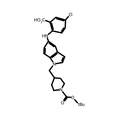 CC(C)(C)OC(=O)N1CCC(Cn2ccc3cc(Nc4ccc(Cl)cc4C(=O)O)ccc32)CC1